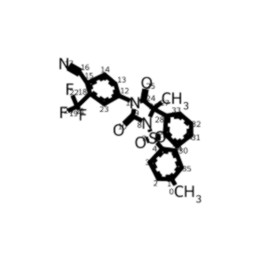 Cc1ccc(S(=O)(=O)N2C(=O)N(c3ccc(C#N)c(C(F)(F)F)c3)C(=O)C2(C)c2cc[c]cc2)cc1